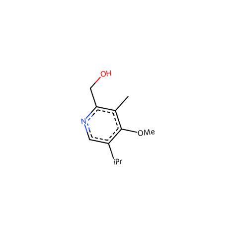 COc1c(C(C)C)cnc(CO)c1C